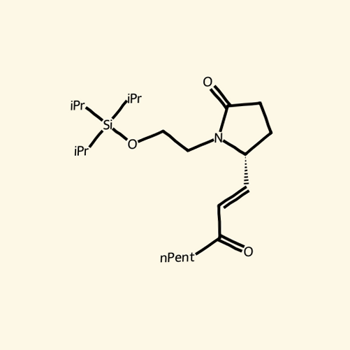 CCCCCC(=O)/C=C/[C@H]1CCC(=O)N1CCO[Si](C(C)C)(C(C)C)C(C)C